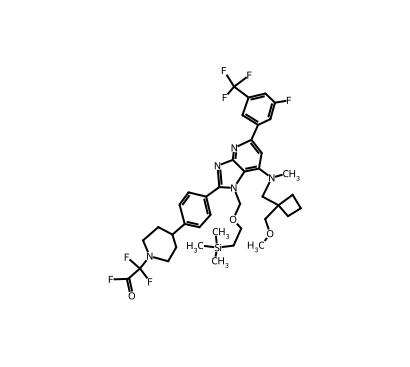 COCC1(CN(C)c2cc(-c3cc(F)cc(C(F)(F)F)c3)nc3nc(-c4ccc(C5CCN(C(F)(F)C(=O)F)CC5)cc4)n(COCC[Si](C)(C)C)c23)CCC1